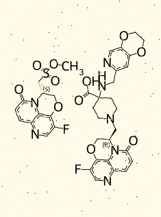 COS(=O)(=O)C[C@@H]1COc2c(F)cnc3ccc(=O)n1c23.O=C(O)C1(NCc2cc3c(cn2)OCCO3)CCN(C[C@@H]2COc3c(F)cnc4ccc(=O)n2c34)CC1